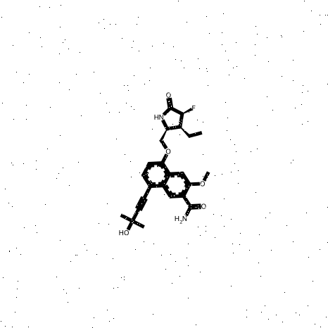 CC[C@@H]1[C@H](F)C(=O)N[C@@H]1COc1ccc(C#CC(C)(C)O)c2cc(C(N)=O)c(OC)cc12